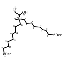 CCCCCCCCCCCCCCCCCC[N+](C)(CCCCCCCCCCCCCCCCCC)C(C)O.[Cl-]